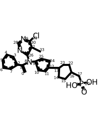 C=C(c1ccccc1)N(c1ccc(C2CCC(CP(=O)(O)O)CC2)cc1)c1ncnc(Cl)c1C